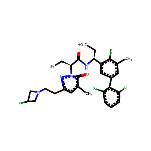 Cc1cc(-c2c(F)cccc2Cl)cc([C@H](CC(=O)O)NC(=O)[C@H](CC(C)C)n2nc(CCN3CC(F)C3)cc(C)c2=O)c1F